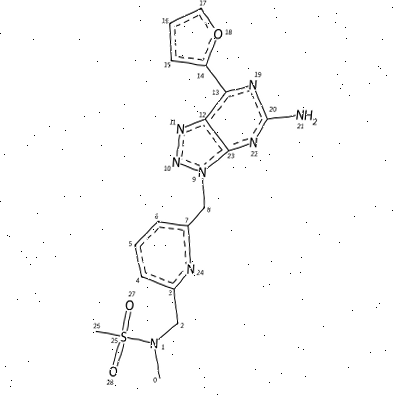 CN(Cc1cccc(Cn2nnc3c(-c4ccco4)nc(N)nc32)n1)S(C)(=O)=O